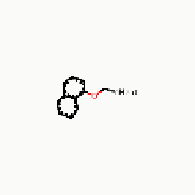 CCCCCCCCOc1cccc2ccccc12